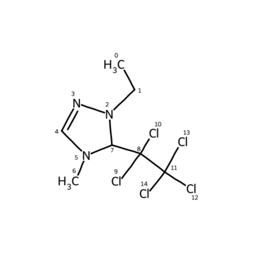 CCN1N=CN(C)C1C(Cl)(Cl)C(Cl)(Cl)Cl